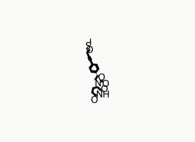 O=C1CCC(N2C[C@H](c3ccc(C#CCOSI)cc3)OC2=O)C(=O)N1